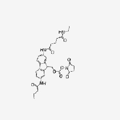 CCCC(=O)Nc1ccc2c(c1)C(COC(=O)ON1C(=O)CCC1=O)c1cc(NC(=O)CCCC(=O)NCC)ccc1-2